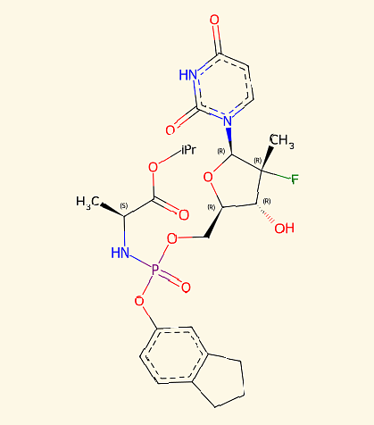 CC(C)OC(=O)[C@H](C)NP(=O)(OC[C@H]1O[C@@H](n2ccc(=O)[nH]c2=O)[C@](C)(F)[C@@H]1O)Oc1ccc2c(c1)CCC2